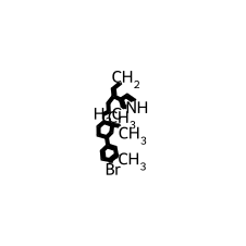 C=C/C=C(/CCC[C@@H]1CCC(c2ccc(Br)c(C)c2)C[C@]1(C)CC)c1cc[nH]c1C